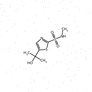 CNS(=O)(=O)c1ncc(C(C)(C)O)s1